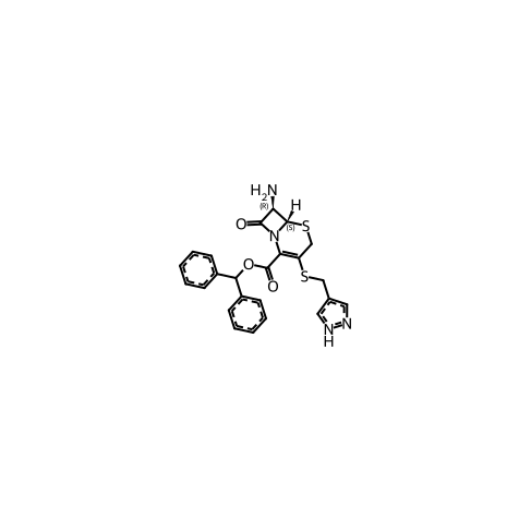 N[C@@H]1C(=O)N2C(C(=O)OC(c3ccccc3)c3ccccc3)=C(SCc3cn[nH]c3)CS[C@@H]12